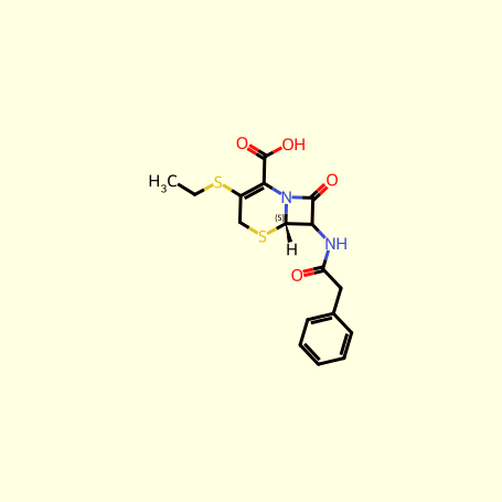 CCSC1=C(C(=O)O)N2C(=O)C(NC(=O)Cc3ccccc3)[C@@H]2SC1